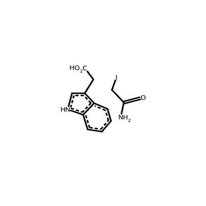 NC(=O)CI.O=C(O)Cc1c[nH]c2ccccc12